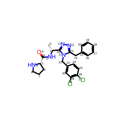 C[C@@H](NC(=O)[C@@H]1CCCN1)c1nnc(Cc2ccccc2)n1Cc1ccc(Cl)c(Cl)c1